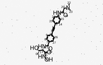 C[C@@H](O)[C@H](NC(=O)c1ccc(C#Cc2ccc(NC(=O)CN(C)C)cc2)cc1)C(=O)NO